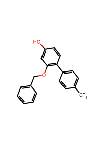 Oc1ccc(-c2ccc(C(F)(F)F)cc2)c(OCc2ccccc2)c1